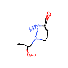 CC(O)N1CCC(=O)N1